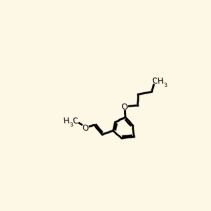 CCCCOc1cccc(C=COC)c1